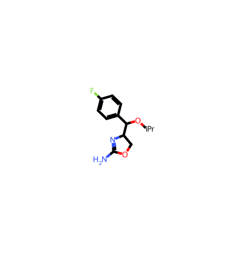 CC(C)OC(c1ccc(F)cc1)C1COC(N)=N1